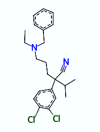 CCN(CCCC(C#N)(c1ccc(Cl)c(Cl)c1)C(C)C)Cc1ccccc1